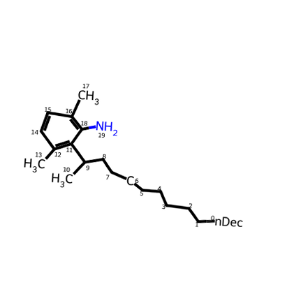 CCCCCCCCCCCCCCCCCCC(C)c1c(C)ccc(C)c1N